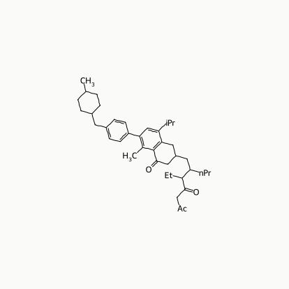 CCCC(CC1CC(=O)c2c(C)c(-c3ccc(CC4CCC(C)CC4)cc3)cc(C(C)C)c2C1)C(CC)C(=O)CC(C)=O